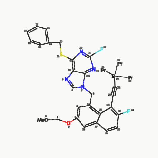 COCOc1cc(Cn2cnc3c(SCc4ccccc4)nc(F)nc32)c2c(C#C[Si](C(C)C)(C(C)C)C(C)C)c(F)ccc2c1